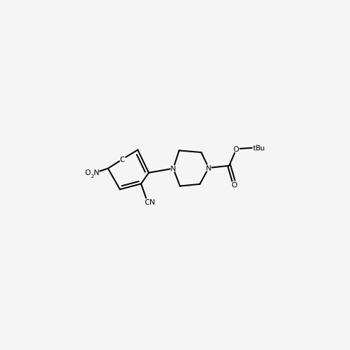 CC(C)(C)OC(=O)N1CCN(C2=CCC([N+](=O)[O-])C=C2C#N)CC1